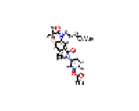 CCc1cc2c(cc1C(=O)N(C(C)C)[C@@H]1CCCN(OC(=O)C(C)(C)C)C1)N(CCCOC)C(=O)C(C)(C)O2